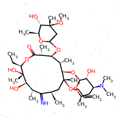 C=CCO[C@]1(C)C[C@@H](C)C(=N)[C@H](C)[C@@H](O)[C@](C)(O)[C@@H](CC)OC(=O)[C@H](C)[C@@H](OC2C[C@@](C)(OC)[C@@H](O)[C@H](C)O2)[C@H](C)[C@H]1O[C@@H]1O[C@H](C)C[C@H](N(C)C)[C@H]1O